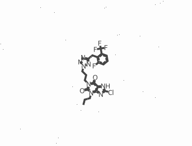 CCCn1c(=O)n(CCCn2nnc(Cc3c(F)cccc3C(F)(F)F)n2)c(=O)c2[nH]c(Cl)nc21